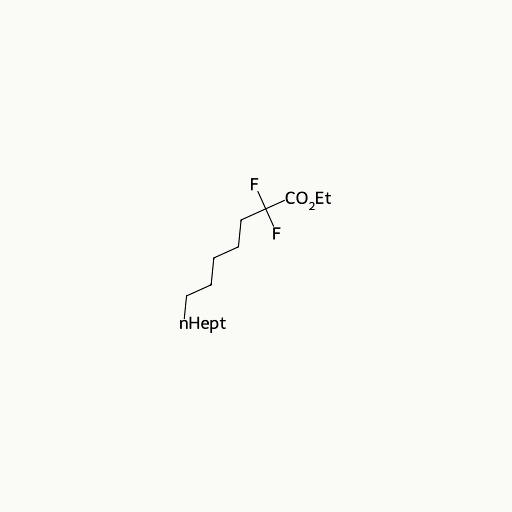 CCCCCCCCCCCCC(F)(F)C(=O)OCC